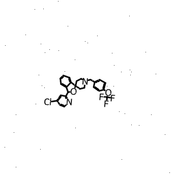 FC(F)(F)Oc1ccc(CN2CCC3(CC2)OC(c2cc(Cl)ccn2)c2ccccc23)cc1